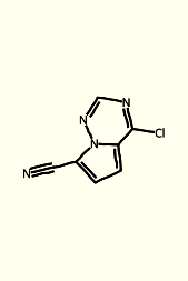 N#Cc1ccc2c(Cl)ncnn12